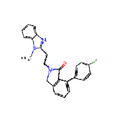 Cn1c(CCN2Cc3cccc(-c4ccc(F)cc4)c3C2=O)nc2ccccc21